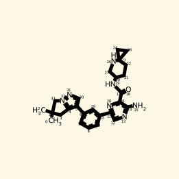 CC1(C)Cc2c(-c3cccc(-c4cnc(N)c(C(=O)NC5CCC6(CC6)NC5)n4)c3)cnn2C1